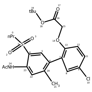 CCCS(=O)(=O)c1cc(-c2cc(Cl)ccc2OCC(=O)OC(C)(C)C)c(C)cc1NC(C)=O